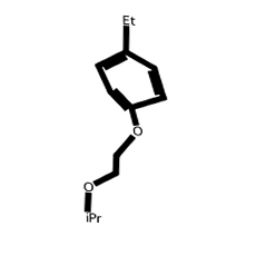 CCc1ccc(OCCOC(C)C)cc1